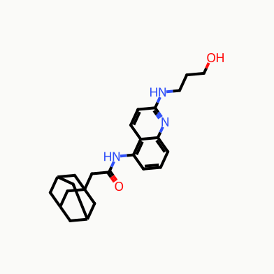 O=C(CC12CC3CC(CC(C3)C1)C2)Nc1cccc2nc(NCCCO)ccc12